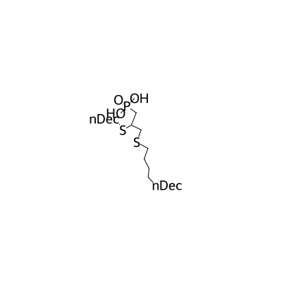 CCCCCCCCCCCCCCSCC(CP(=O)(O)O)SCCCCCCCCCC